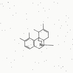 CC1=CCC2C3Cc4ccc(C)c(C)c4C2(CCN3C)C1C